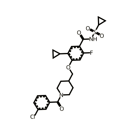 O=C(NS(=O)(=O)C1CC1)c1cc(C2CC2)c(OCC2CCN(C(=O)c3cccc(Cl)c3)CC2)cc1F